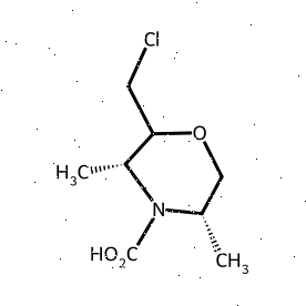 C[C@@H]1C(CCl)OC[C@H](C)N1C(=O)O